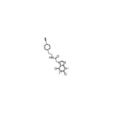 C#Cc1ccc(CCNC(=O)Cn2cnc3c2c(=O)n(C)c(=O)n3C)cc1